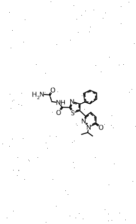 CC(C)n1nc(-c2sc(C(=O)NCC(N)=O)nc2-c2ccccc2)ccc1=O